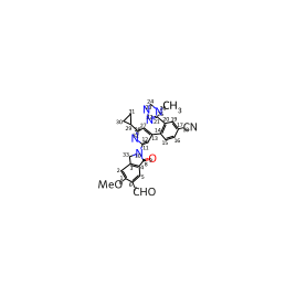 COc1cc2c(cc1C=O)C(=O)N(c1cc(-c3ccc(C#N)cc3-c3nncn3C)cc(C3CC3)n1)C2